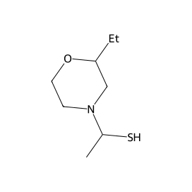 CCC1CN(C(C)S)CCO1